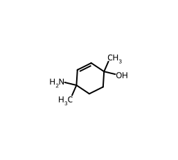 CC1(N)C=CC(C)(O)CC1